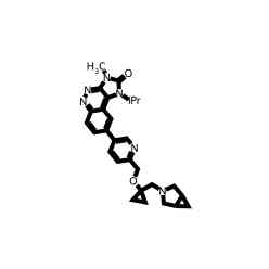 CC(C)n1c(=O)n(C)c2nnc3ccc(-c4ccc(COC5(CN6CC7CC7C6)CC5)nc4)cc3c21